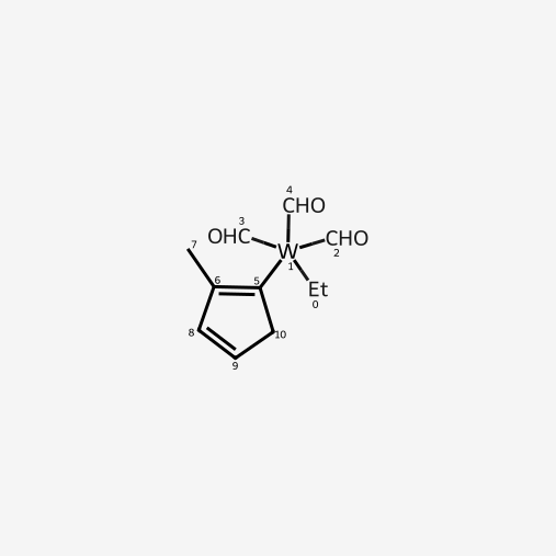 C[CH2][W]([CH]=O)([CH]=O)([CH]=O)[C]1=C(C)C=CC1